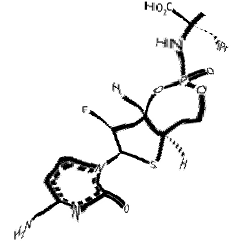 CC(C)[C@](C)(NP1(=O)OC[C@H]2S[C@@H](n3ccc(N)nc3=O)[C@@H](F)[C@@H]2O1)C(=O)O